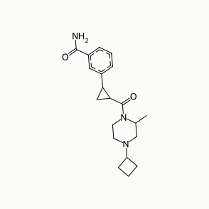 CC1CN(C2CCC2)CCN1C(=O)C1CC1c1cccc(C(N)=O)c1